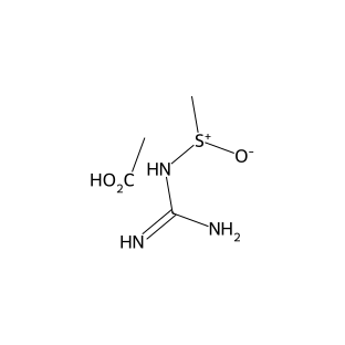 CC(=O)O.C[S+]([O-])NC(=N)N